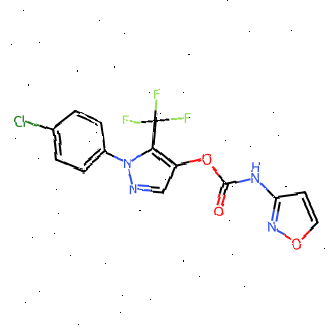 O=C(Nc1ccon1)Oc1cnn(-c2ccc(Cl)cc2)c1C(F)(F)F